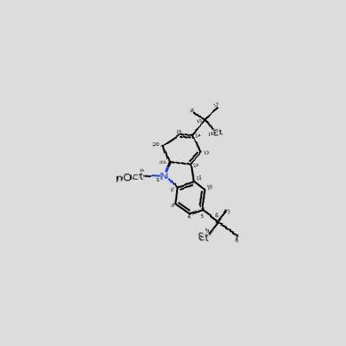 CCCCCCCCN1c2ccc(C(C)(C)CC)cc2C2=CC(C(C)(C)CC)=CCC21